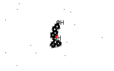 CC12CCC3c4ccc(O)cc4CCC3C1CC[C@@]2(O)/C=C/c1ccccc1-c1ccccc1